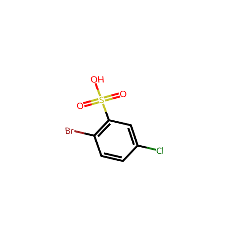 O=S(=O)(O)c1cc(Cl)ccc1Br